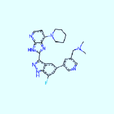 CN(C)Cc1cncc(-c2cc(F)c3[nH]nc(-c4nc5c(N6CCCCC6)ccnc5[nH]4)c3c2)c1